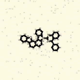 c1ccc(-c2nc(-n3c4ccccc4c4c5c(ccc6c7ccccc7oc65)ccc43)nc3ccccc23)cc1